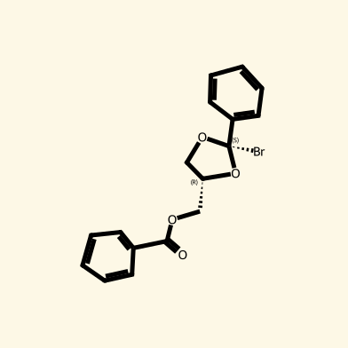 O=C(OC[C@@H]1CO[C@@](Br)(c2ccccc2)O1)c1ccccc1